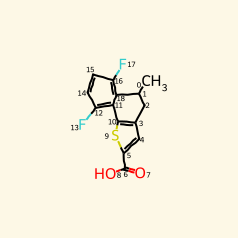 CC1Cc2cc(C(=O)O)sc2-c2c(F)ccc(F)c21